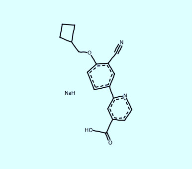 N#Cc1cc(-c2cc(C(=O)O)ccn2)ccc1OCC1CCC1.[NaH]